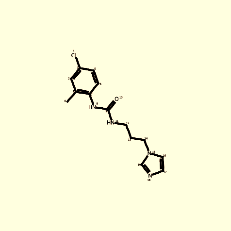 Cc1cc(Cl)ccc1NC(=O)NCCCn1ccnc1